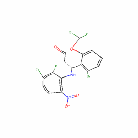 O=CC[C@@H](Nc1c([N+](=O)[O-])ccc(Cl)c1F)c1c(Br)cccc1OC(F)F